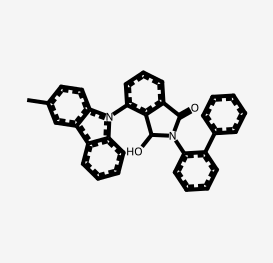 Cc1ccc2c(c1)c1ccccc1n2-c1cccc2c1C(O)N(c1ccccc1-c1ccccc1)C2=O